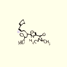 CN(C)C(=O)c1coc([C@H](C/C=C\C2CCC2)CC(=O)O)n1